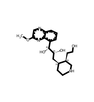 COc1cnc2cccc([C@@H](O)[C@H](O)C[C@@H]3CCNC[C@@H]3CCO)c2n1